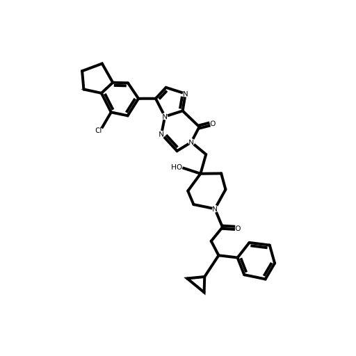 O=C(CC(c1ccccc1)C1CC1)N1CCC(O)(Cn2cnn3c(-c4cc(Cl)c5c(c4)CC[CH]5)cnc3c2=O)CC1